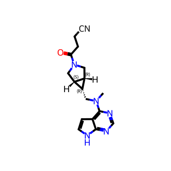 CN(C[C@@H]1[C@@H]2CN(C(=O)CCC#N)C[C@@H]21)c1ncnc2[nH]ccc12